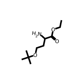 CCOC(=O)C(N)CCOC(C)(C)C